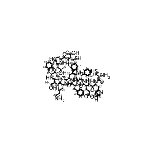 C[C@@H](O)[C@H](NC(=O)[C@H](Cc1ccccc1)NC(=O)[C@@H](NC(=O)[C@H](CCCCN)NC(=O)[C@@H](Cc1c[nH]c2ccccc12)NC(=O)[C@H](Cc1ccccc1)NC(=O)[C@H](Cc1ccccc1)NC(=O)[C@H](CCC(=O)O)NC(=O)[C@H](Cc1c[nH]cn1)NC(=O)[C@@H](N)CS)[C@@H](C)O)C(=O)N[C@@H](CO)C(=O)N[C@@H](CS)C(=O)O